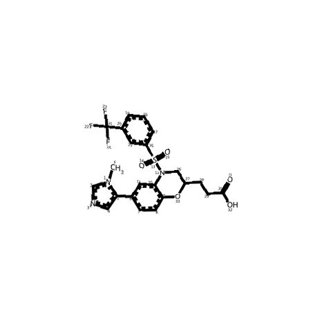 Cn1cncc1-c1ccc2c(c1)N(S(=O)(=O)c1cccc(C(F)(F)F)c1)CC(CCC(=O)O)O2